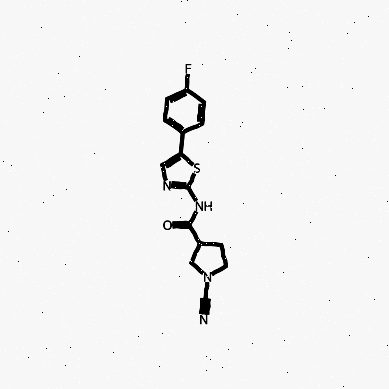 N#CN1CCC(C(=O)Nc2ncc(-c3ccc(F)cc3)s2)C1